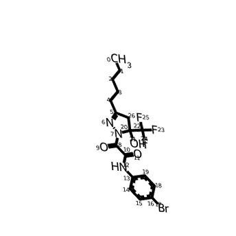 CCCCCC1=NN(C(=O)C(=O)Nc2ccc(Br)cc2)C(O)(C(F)(F)F)C1